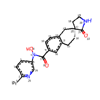 CC(C)c1ccc(N(O)C(=O)c2ccc3c(c2)CC[C@@]2(CCNC2=O)C3)cn1